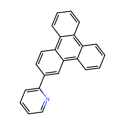 [c]1c(-c2ccccn2)ccc2c1c1ccccc1c1ccccc21